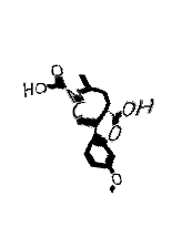 COc1ccc([C@H]2CCN(C(=O)O)C(C)C[C@@H]2C(=O)O)cc1